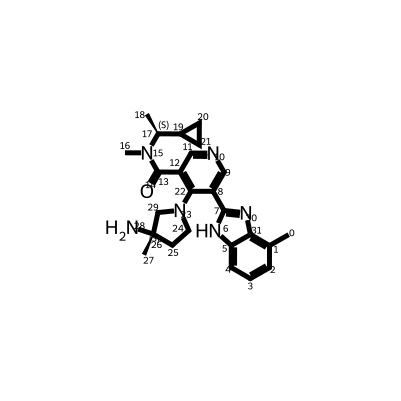 Cc1cccc2[nH]c(-c3cncc(C(=O)N(C)[C@@H](C)C4CC4)c3N3CC[C@](C)(N)C3)nc12